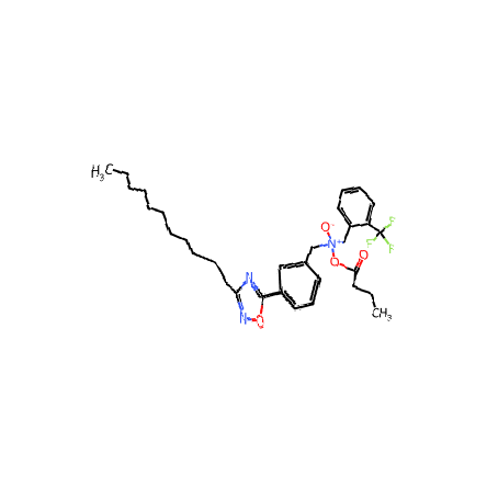 CCCCCCCCCCCc1noc(-c2cccc(C[N+]([O-])(Cc3ccccc3C(F)(F)F)OC(=O)CCC)c2)n1